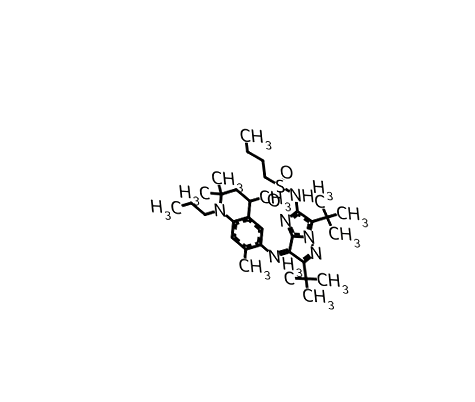 CCCCS(=O)(=O)Nc1nc2n(c1C(C)(C)C)N=C(C(C)(C)C)/C2=N/c1cc2c(cc1C)N(CCC)C(C)(C)CC2C